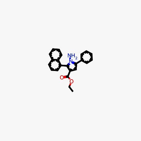 CCOC(=O)c1cc(-c2ccccc2)n(N)c1-c1cccc2ccccc12